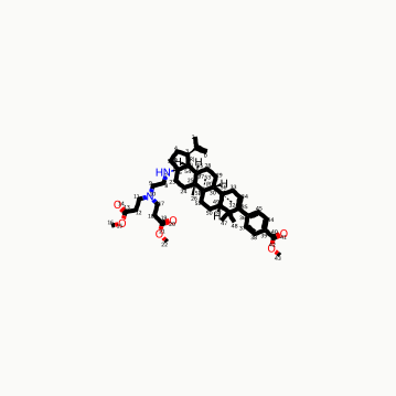 C=C(C)[C@@H]1CC[C@]2(NCCN(CCC(=O)OC)CCC(=O)OC)CC[C@]3(C)[C@H](CC[C@@H]4[C@@]5(C)CC=C(c6ccc(C(=O)OC)cc6)C(C)(C)[C@@H]5CC[C@]43C)[C@@H]12